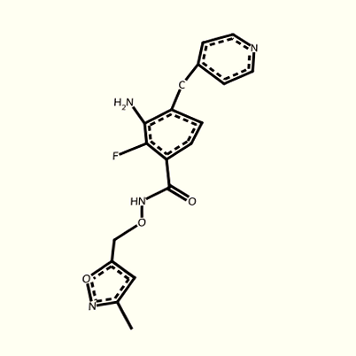 Cc1cc(CONC(=O)c2ccc(Cc3ccncc3)c(N)c2F)on1